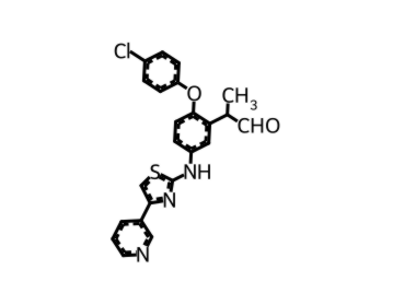 CC(C=O)c1cc(Nc2nc(-c3cccnc3)cs2)ccc1Oc1ccc(Cl)cc1